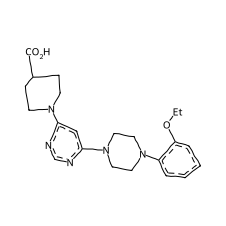 CCOc1ccccc1N1CCN(c2cc(N3CCC(C(=O)O)CC3)ncn2)CC1